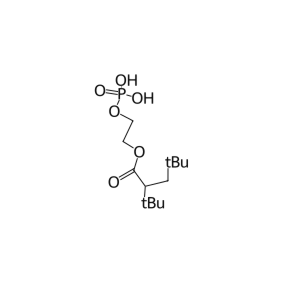 CC(C)(C)CC(C(=O)OCCOP(=O)(O)O)C(C)(C)C